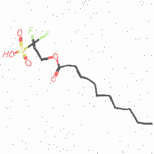 CCCCCCCCCC(=O)OCC(F)(F)S(=O)(=O)O